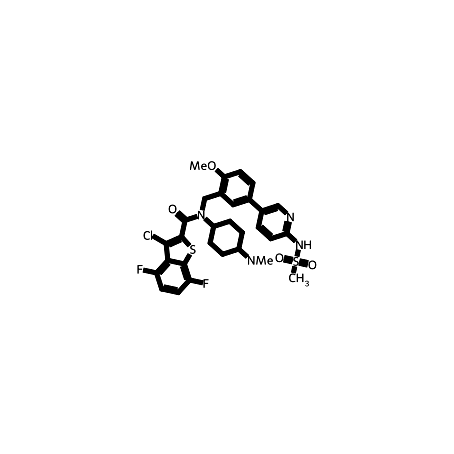 CNC1CCC(N(Cc2cc(-c3ccc(NS(C)(=O)=O)nc3)ccc2OC)C(=O)c2sc3c(F)ccc(F)c3c2Cl)CC1